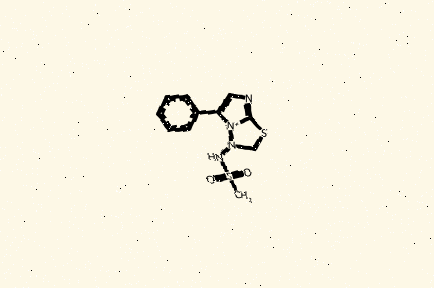 CS(=O)(=O)NN1CSC2=NC=C(c3ccccc3)[N+]21